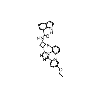 CCOc1ccc(-c2nnc([C@H]3C[C@H](NC(=O)c4cccc5cc[nH]c45)C3)n2-c2ccccc2F)nc1